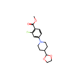 COC(=O)c1ccc(N2CCC(C3OCCO3)CC2)cc1F